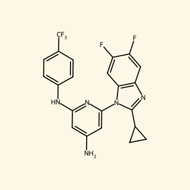 Nc1cc(Nc2ccc(C(F)(F)F)cc2)nc(-n2c(C3CC3)nc3cc(F)c(F)cc32)c1